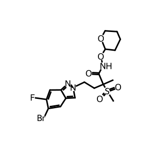 CC(CCn1cc2cc(Br)c(F)cc2n1)(C(=O)NOC1CCCCO1)S(C)(=O)=O